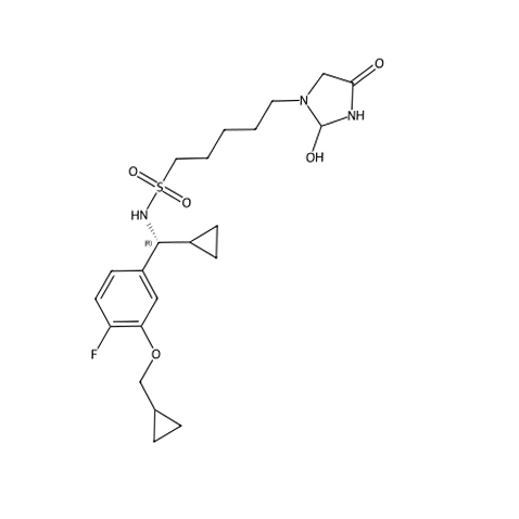 O=C1CN(CCCCCS(=O)(=O)N[C@@H](c2ccc(F)c(OCC3CC3)c2)C2CC2)C(O)N1